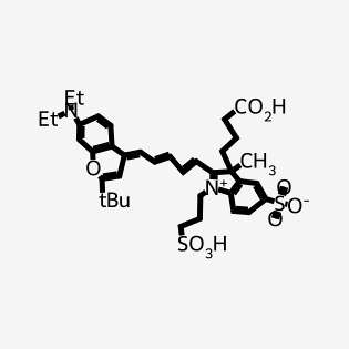 CCN(CC)c1ccc2c(c1)OC(C(C)(C)C)=C\C2=C/C=C/C=C/C1=[N+](CCCS(=O)(=O)O)c2ccc(S(=O)(=O)[O-])cc2C1(C)CCCC(=O)O